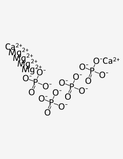 O=P([O-])([O-])[O-].O=P([O-])([O-])[O-].O=P([O-])([O-])[O-].O=P([O-])([O-])[O-].[Ca+2].[Ca+2].[Mg+2].[Mg+2].[Mg+2].[Mg+2]